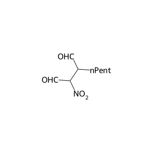 CCCCCC(C=O)C(C=O)[N+](=O)[O-]